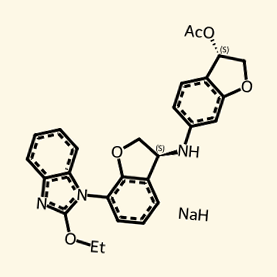 CCOc1nc2ccccc2n1-c1cccc2c1OC[C@H]2Nc1ccc2c(c1)OC[C@H]2OC(C)=O.[NaH]